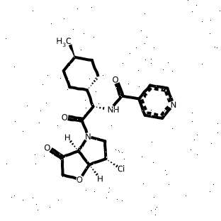 C[C@H]1CC[C@H]([C@H](NC(=O)c2ccncc2)C(=O)N2C[C@H](Cl)[C@H]3OCC(=O)[C@H]32)CC1